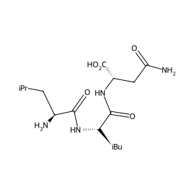 CC[C@H](C)[C@H](NC(=O)[C@@H](N)CC(C)C)C(=O)N[C@@H](CC(N)=O)C(=O)O